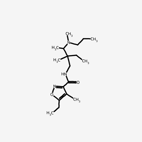 CCCN(C)C(C)C(C)(CC)CNC(=O)c1noc(CC)c1C